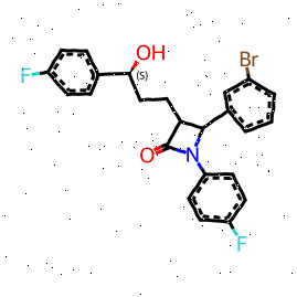 O=C1C(CC[C@H](O)c2ccc(F)cc2)C(c2cccc(Br)c2)N1c1ccc(F)cc1